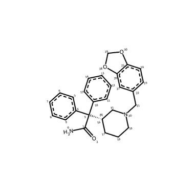 NC(=O)C(c1ccccc1)(c1ccccc1)[C@H]1CCCN(Cc2ccc3c(c2)OCO3)C1